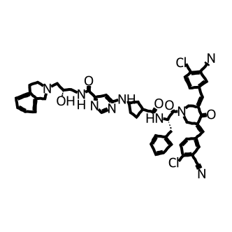 N#Cc1cc(/C=C2\CN(C(=O)[C@H](Cc3ccccc3)NC(=O)C3CC[C@H](Nc4cc(C(=O)NC[C@H](O)CN5CCc6ccccc6C5)ncn4)C3)C/C(=C\c3ccc(Cl)c(C#N)c3)C2=O)ccc1Cl